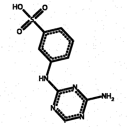 Nc1n[c]nc(Nc2cccc(S(=O)(=O)O)c2)n1